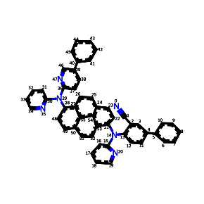 N#Cc1cc(-c2ccccc2)ccc1N(c1ccccn1)c1ccc2ccc3c(N(c4ccccn4)c4ccc(-c5ccccc5)cn4)ccc4ccc1c2c43